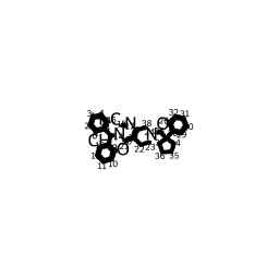 Cc1ccccc1C(c1ccccc1)n1c(C)nc2c(c1=O)CCN(C(=O)C1(c3ccccc3)CCCC1)C2